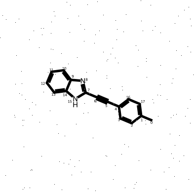 Cc1ccc(C#Cc2nc3ccccc3[nH]2)cc1